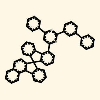 c1ccc(-c2cccc(-c3nc(-c4ccccc4)cc(-c4cccc5c4-c4ccccc4C54c5ccccc5-c5c4ccc4ccccc54)n3)c2)cc1